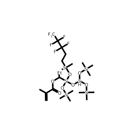 C=C(C)C(=O)OC(CC)[Si](O[SiH](O[Si](C)(C)C)O[Si](C)(C)C)(O[Si](C)(C)C)O[Si](C)(C)CCC(F)(F)C(F)(F)C(F)(F)F